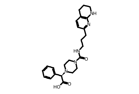 O=C(O)[C@@H](c1ccccc1)N1CCN(C(=O)NCCCc2ccc3c(n2)NCCC3)CC1